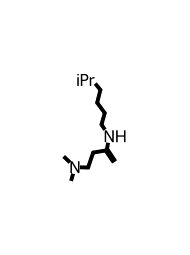 C=C(CCN(C)C)NCCCCC(C)C